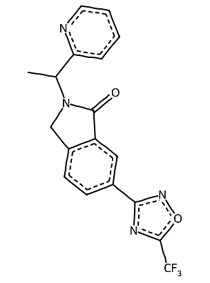 CC(c1ccccn1)N1Cc2ccc(-c3noc(C(F)(F)F)n3)cc2C1=O